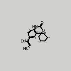 CCC(=CC#N)c1ccc2c(c1)C1(CCCCC1)OC(=O)N2